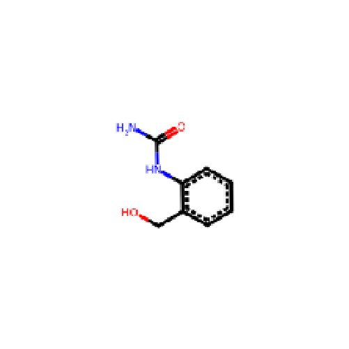 NC(=O)Nc1ccccc1CO